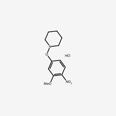 COc1cc(ON2CCCCC2)ccc1[N+](=O)[O-].Cl